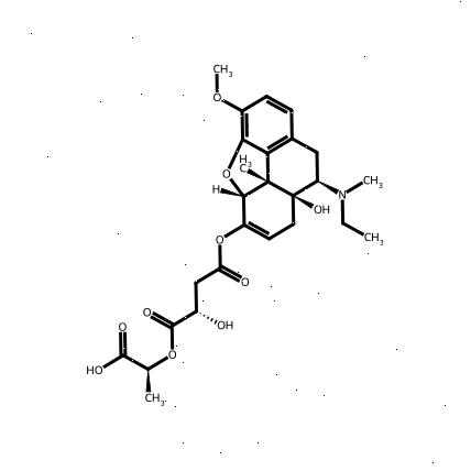 CCN(C)[C@@H]1Cc2ccc(OC)c3c2[C@@]2(C)[C@@H](O3)C(OC(=O)C[C@H](O)C(=O)O[C@@H](C)C(=O)O)=CC[C@@]12O